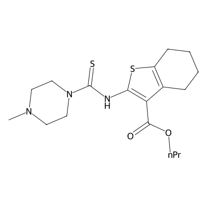 CCCOC(=O)c1c(NC(=S)N2CCN(C)CC2)sc2c1CCCC2